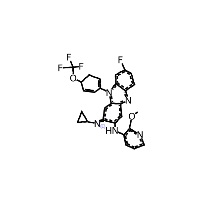 COc1ncccc1Nc1cc2nc3ccc(F)cc3n(C3=CCC(OC(F)(F)F)C=C3)c-2c/c1=N\C1CC1